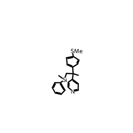 CSc1ccc(C(C)(C[Si](C)(C)c2ccccc2)c2ccncc2)cc1